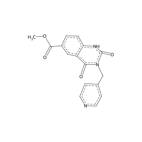 COC(=O)c1ccc2[nH]c(=O)n(Cc3ccncc3)c(=O)c2c1